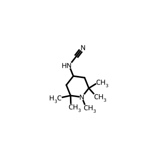 CN1C(C)(C)CC(NC#N)CC1(C)C